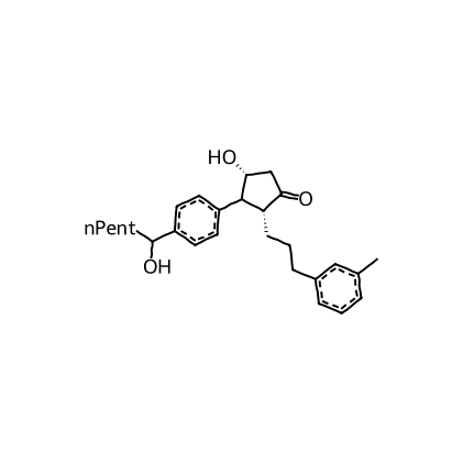 CCCCCC(O)c1ccc(C2[C@H](O)CC(=O)[C@@H]2CCCc2cccc(C)c2)cc1